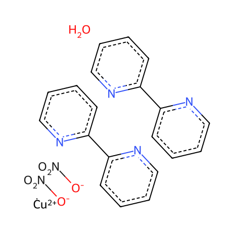 O.O=[N+]([O-])[O-].O=[N+]([O-])[O-].[Cu+2].c1ccc(-c2ccccn2)nc1.c1ccc(-c2ccccn2)nc1